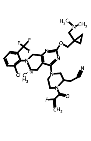 C=C(F)C(=O)N1CCN(c2nc(OCC3(CN(C)C)CC3)nc3c2C[C@H](C)N(c2c(Cl)cccc2C(F)(F)F)C3)CC1CC#N